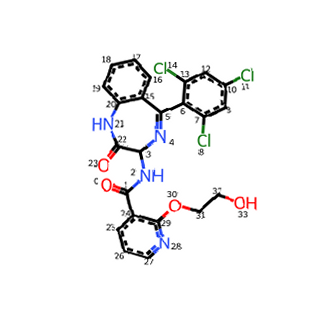 O=C(NC1N=C(c2c(Cl)cc(Cl)cc2Cl)c2ccccc2NC1=O)c1cccnc1OCCO